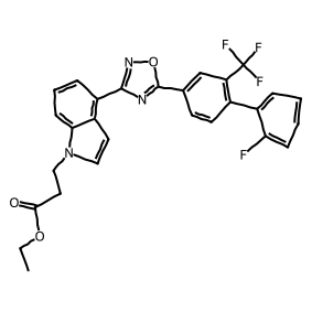 CCOC(=O)CCn1ccc2c(-c3noc(-c4ccc(-c5ccccc5F)c(C(F)(F)F)c4)n3)cccc21